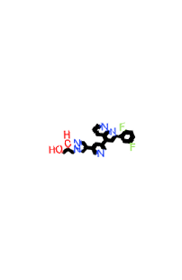 OCC(O)CN1CC(c2cncc(-c3cc(-c4cc(F)ccc4F)nc4ncccc34)c2)C=N1